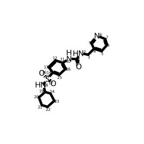 O=C(NCc1cccnc1)Nc1ccc(S(=O)(=O)NC2CCCCC2)cc1